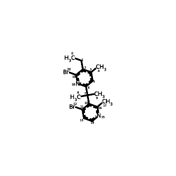 CCc1c(C)cc(C(C)(C)c2c(Br)ccnc2C)nc1Br